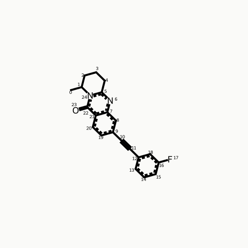 CC1CCCc2nc3cc(C#Cc4cccc(F)c4)ccc3c(=O)n21